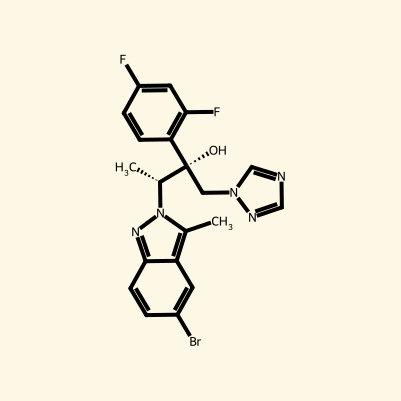 Cc1c2cc(Br)ccc2nn1[C@H](C)[C@](O)(Cn1cncn1)c1ccc(F)cc1F